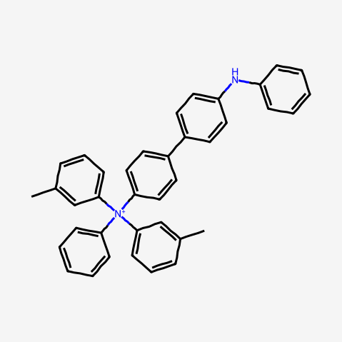 Cc1cccc([N+](c2ccccc2)(c2ccc(-c3ccc(Nc4ccccc4)cc3)cc2)c2cccc(C)c2)c1